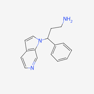 NCCC(c1ccccc1)n1ccc2ccncc21